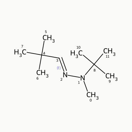 CN(/N=C/C(C)(C)C)C(C)(C)C